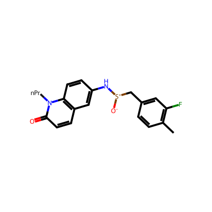 CCCn1c(=O)ccc2cc(N[S+]([O-])Cc3ccc(C)c(F)c3)ccc21